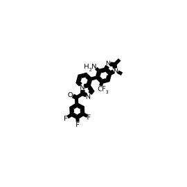 Cc1nc2c(N)c(-c3cccn4c(C(=O)c5cc(F)c(F)c(F)c5)ncc34)c(C(F)(F)F)cc2n1C